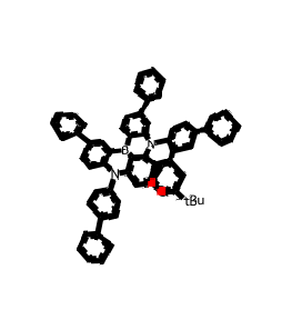 Cc1cc2c3c(c1)N(c1ccc(-c4ccccc4)cc1-c1cccc(C(C)(C)C)c1)c1cc(-c4ccccc4)ccc1B3c1cc(-c3ccccc3)ccc1N2c1ccc(-c2ccccc2)cc1